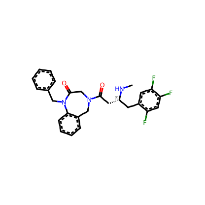 CN[C@@H](CC(=O)N1CC(=O)N(Cc2ccccc2)c2ccccc2C1)Cc1cc(F)c(F)cc1F